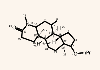 CCCOC1CC[C@H]2[C@@H]3C(C)CC4N(C)C(=O)CC[C@]4(C)[C@@H]3CC[C@]12C